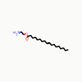 CCCCCCCCC=CCCCCCCCC(=O)OCCN